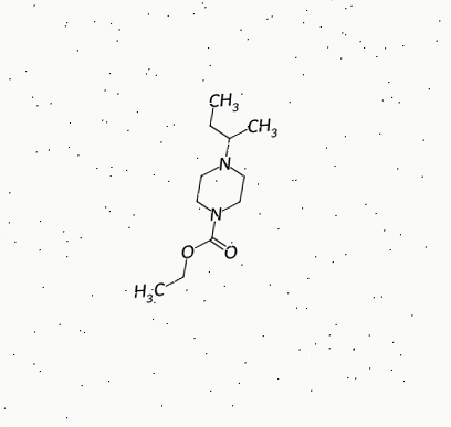 CCOC(=O)N1CCN(C(C)CC)CC1